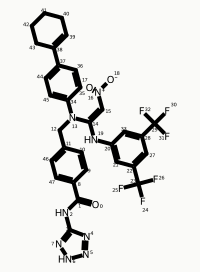 O=C(Nc1nn[nH]n1)c1ccc(CN(/C(=C\[N+](=O)[O-])Nc2cc(C(F)(F)F)cc(C(F)(F)F)c2)c2ccc(C3=CCCCC3)cc2)cc1